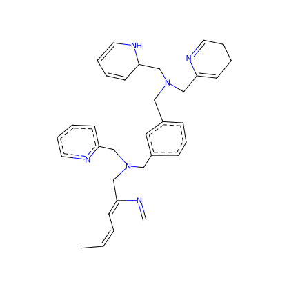 C=N/C(=C\C=C/C)CN(Cc1cccc(CN(CC2=CCCC=N2)CC2C=CC=CN2)c1)Cc1ccccn1